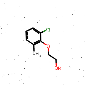 Cc1cccc(Cl)c1OCCO